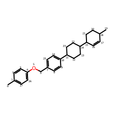 Cc1ccc(OCc2ccc(C3CCC(C4C=CC(C)CC4)CC3)cc2)cc1